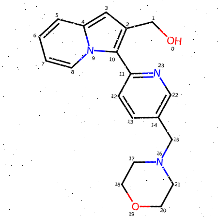 OCc1cc2ccccn2c1-c1ccc(CN2CCOCC2)cn1